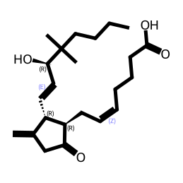 C=C1CC(=O)[C@H](C/C=C\CCCC(=O)O)[C@H]1/C=C/[C@@H](O)C(C)(C)CCCC